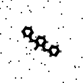 [CH2]c1c(Oc2ccccc2)cccc1Oc1ccccc1